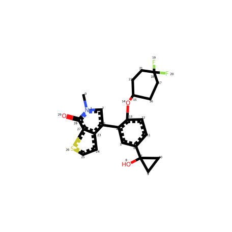 Cn1cc(-c2cc(C3(O)CC3)ccc2OC2CCC(F)(F)CC2)c2ccsc2c1=O